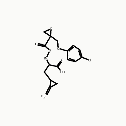 C=C1CC1CC(NSC(=O)C1(COc2ccc(Cl)cc2)CO1)C(=O)O